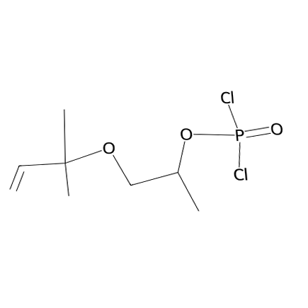 C=CC(C)(C)OCC(C)OP(=O)(Cl)Cl